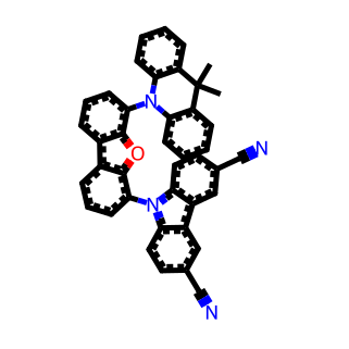 CC1(C)c2ccccc2N(c2cccc3c2oc2c(-n4c5ccc(C#N)cc5c5cc(C#N)ccc54)cccc23)c2ccccc21